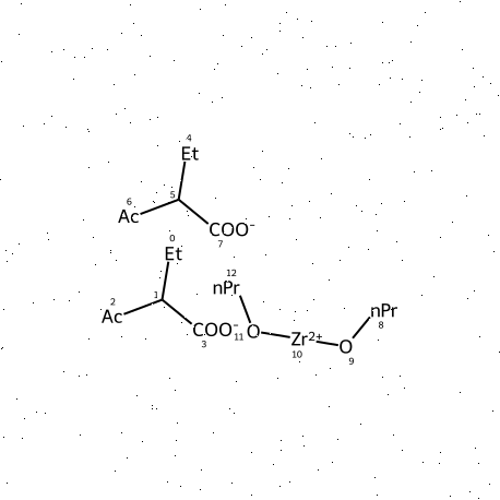 CCC(C(C)=O)C(=O)[O-].CCC(C(C)=O)C(=O)[O-].CCC[O][Zr+2][O]CCC